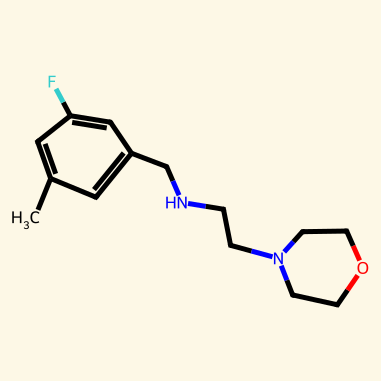 Cc1cc(F)cc(CNCCN2CCOCC2)c1